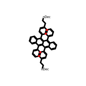 CCCCCCCCCCCCc1ccc(-c2c3ccccc3c(-c3ccccc3)c3c(-c4ccc(CCCCCCCCCCCC)cc4)c4ccccc4c(-c4ccccc4)c23)cc1